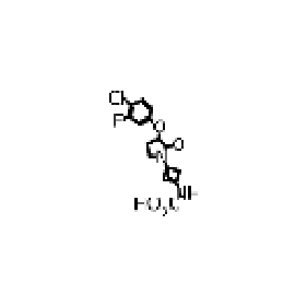 O=C(O)NC12CC(N3CCC(Oc4ccc(Cl)c(F)c4)C3=O)(C1)C2